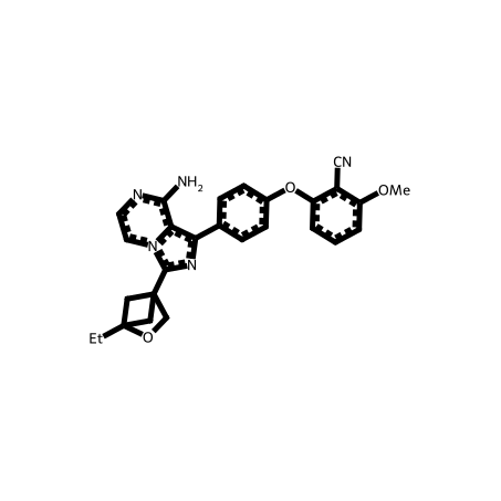 CCC12CC(c3nc(-c4ccc(Oc5cccc(OC)c5C#N)cc4)c4c(N)nccn34)(CO1)C2